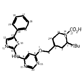 CC(C)(C)C1CC(COc2cc(Nc3ncc(-c4ccccc4)s3)ncn2)CCN1C(=O)O